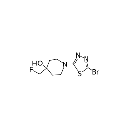 OC1(CF)CCN(c2nnc(Br)s2)CC1